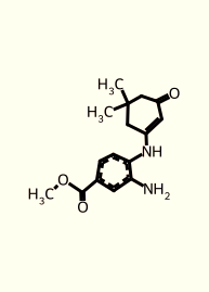 COC(=O)c1ccc(NC2=CC(=O)CC(C)(C)C2)c(N)c1